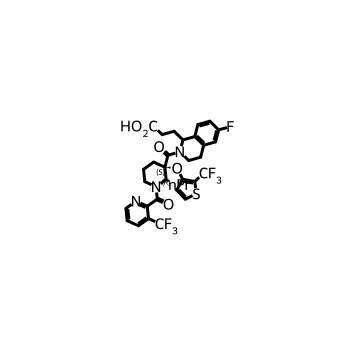 CCC[C@H]1N(C(=O)c2ncccc2C(F)(F)F)CCC[C@@]1(Oc1ccsc1C(F)(F)F)C(=O)N1CCc2cc(F)ccc2C1CCC(=O)O